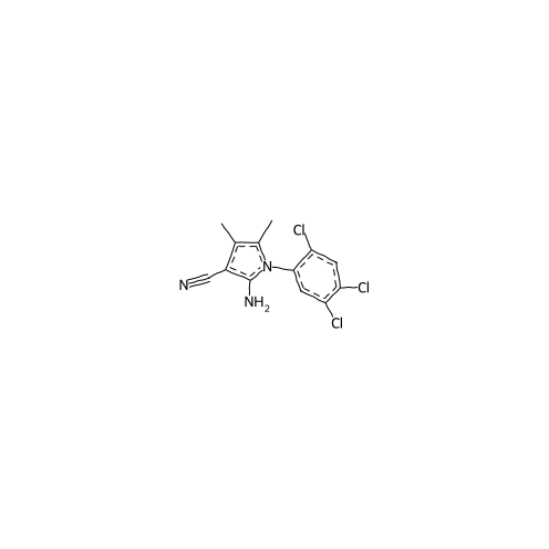 Cc1c(C#N)c(N)n(-c2cc(Cl)c(Cl)cc2Cl)c1C